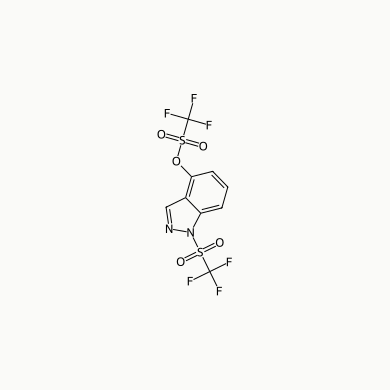 O=S(=O)(Oc1cccc2c1cnn2S(=O)(=O)C(F)(F)F)C(F)(F)F